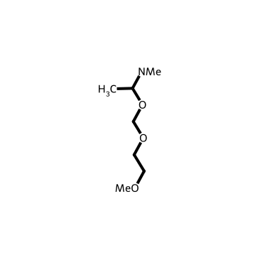 CNC(C)OCOCCOC